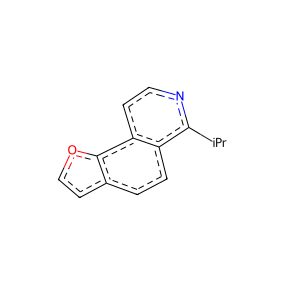 CC(C)c1nccc2c1ccc1ccoc12